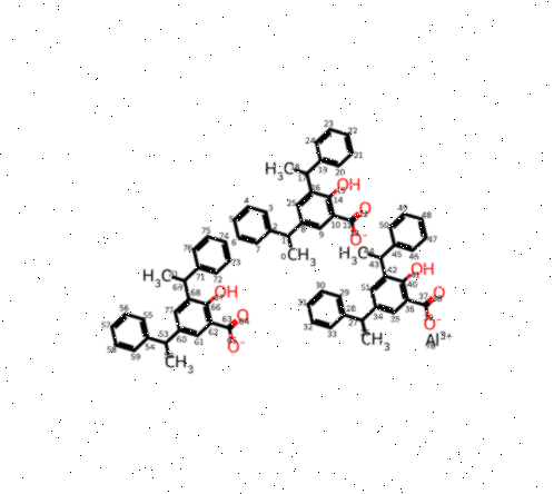 CC(c1ccccc1)c1cc(C(=O)[O-])c(O)c(C(C)c2ccccc2)c1.CC(c1ccccc1)c1cc(C(=O)[O-])c(O)c(C(C)c2ccccc2)c1.CC(c1ccccc1)c1cc(C(=O)[O-])c(O)c(C(C)c2ccccc2)c1.[Al+3]